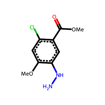 COC(=O)c1cc(NN)c(OC)cc1Cl